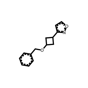 c1ccc(COC2CC(c3ccon3)C2)cc1